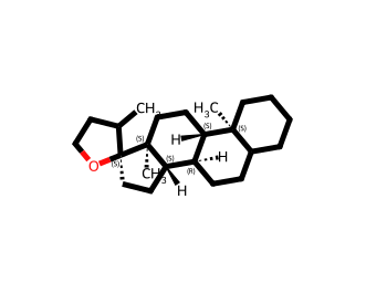 CC1CCO[C@@]12CC[C@H]1[C@@H]3CCC4CCCC[C@]4(C)[C@H]3CC[C@@]12C